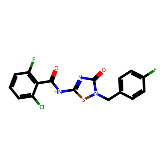 O=C(Nc1nc(=O)n(Cc2ccc(F)cc2)s1)c1c(F)cccc1Cl